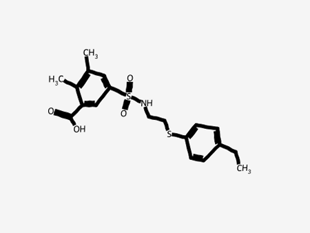 CCc1ccc(SCCNS(=O)(=O)c2cc(C)c(C)c(C(=O)O)c2)cc1